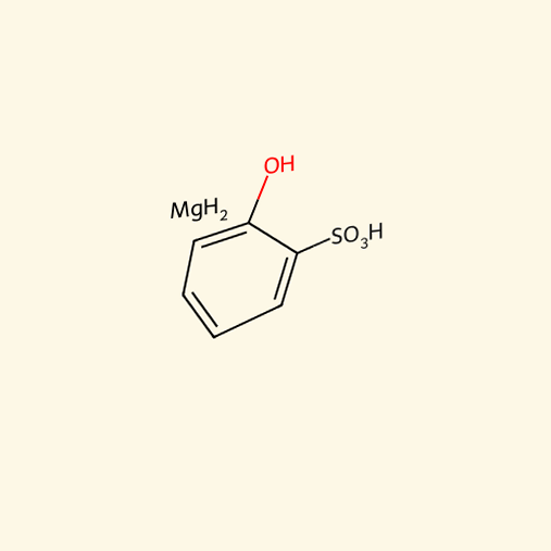 O=S(=O)(O)c1ccccc1O.[MgH2]